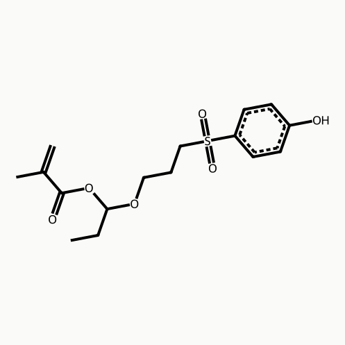 C=C(C)C(=O)OC(CC)OCCCS(=O)(=O)c1ccc(O)cc1